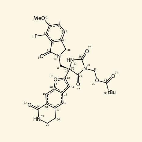 COc1ccc2c(c1F)C(=O)N(C[C@@]1(c3cc4cc5c(cc4o3)C(=O)NCC5)NC(=O)N(COC(=O)C(C)(C)C)C1=O)C2